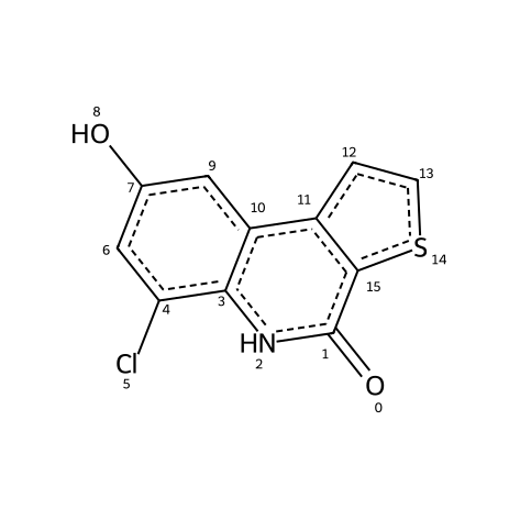 O=c1[nH]c2c(Cl)cc(O)cc2c2ccsc12